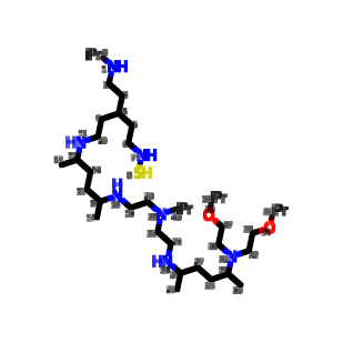 CC(C)NCCC(CCNS)CCNC(C)CCC(C)NCCN(CCNC(C)CCC(C)N(CCOC(C)C)CCOC(C)C)C(C)C